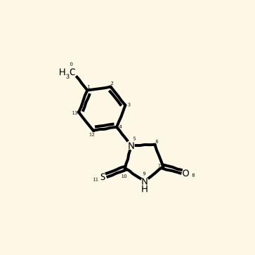 Cc1ccc(N2CC(=O)NC2=S)cc1